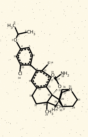 CC(C)Oc1ccc(-c2cc3c(cc2F)[C@@](OC(N)=O)([C@@H]2CN4CCC2CC4)C(C)(C)CC3)c(Cl)c1